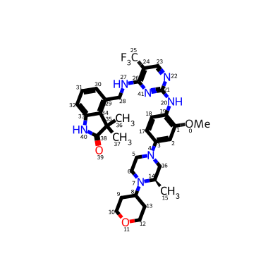 COc1cc(N2CCN(C3CCOCC3)[C@H](C)C2)ccc1Nc1ncc(C(F)(F)F)c(NCc2cccc3c2C(C)(C)C(=O)N3)n1